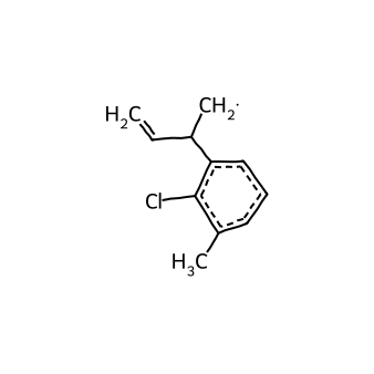 [CH2]C(C=C)c1cccc(C)c1Cl